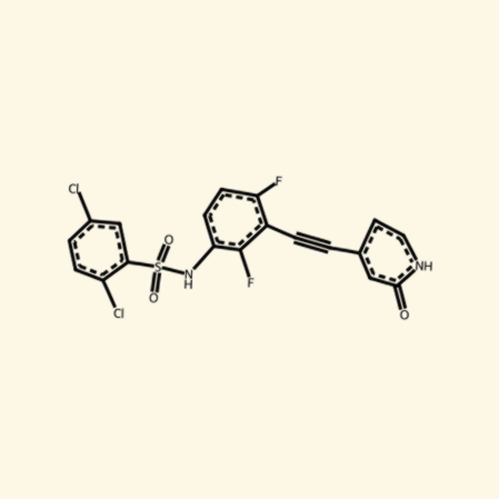 O=c1cc(C#Cc2c(F)ccc(NS(=O)(=O)c3cc(Cl)ccc3Cl)c2F)cc[nH]1